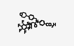 O=C(O)c1ccc(N(Cc2ccc(C3CCOCC3)cc2)C(=O)CNSc2c(F)c(F)c(F)c(F)c2F)cc1